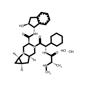 CN[C@@H](C)C(=O)N[C@H](C(=O)N1C[C@H]2C[C@H]3C[C@H]3N2C[C@H]1C(=O)N[C@H]1c2ccccc2C[C@@H]1O)C1CCCCC1.Cl.Cl